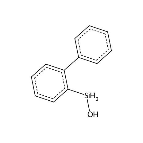 O[SiH2]c1ccccc1-c1ccccc1